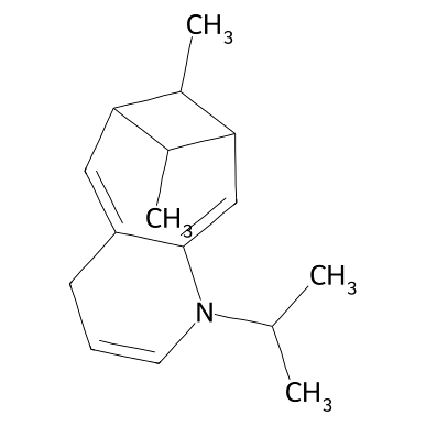 CC1C2C=C3CC=CN(C(C)C)C3=CC1C2C